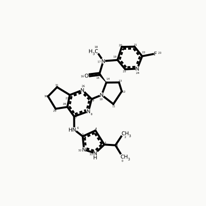 CC(C)c1cc(Nc2nc(N3CCC[C@@H]3C(=O)N(C)c3ccc(F)nc3)nc3c2CCC3)n[nH]1